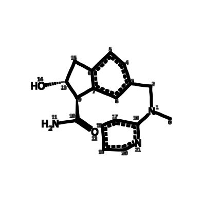 CN(Cc1ccc2c(c1)[C@@H](C(N)=O)[C@H](O)C2)c1ccccn1